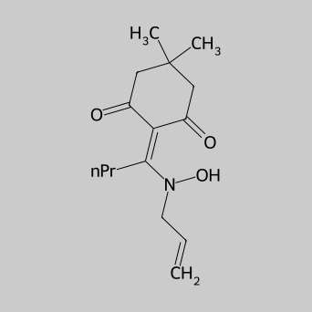 C=CCN(O)C(CCC)=C1C(=O)CC(C)(C)CC1=O